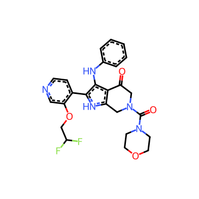 O=C1CN(C(=O)N2CCOCC2)Cc2[nH]c(-c3ccncc3OCC(F)F)c(Nc3ccccc3)c21